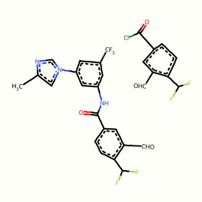 Cc1cn(-c2cc(NC(=O)c3ccc(C(F)F)c(C=O)c3)cc(C(F)(F)F)c2)cn1.O=Cc1cc(C(=O)Cl)ccc1C(F)F